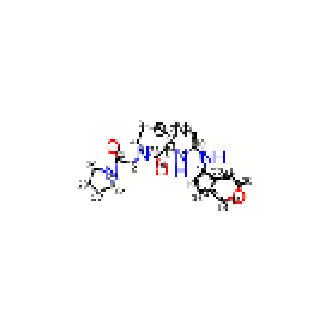 O=C(CN1CCCC[C@H](NC(=C[N+](=O)[O-])Nc2ccc3coccc2-3)C1=O)N1CCCC1